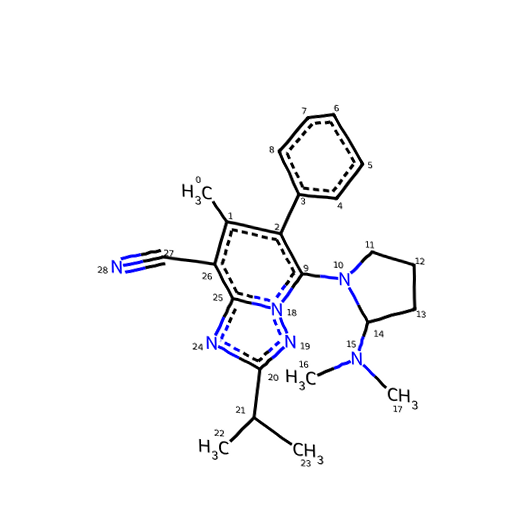 Cc1c(-c2ccccc2)c(N2CCCC2N(C)C)n2nc(C(C)C)nc2c1C#N